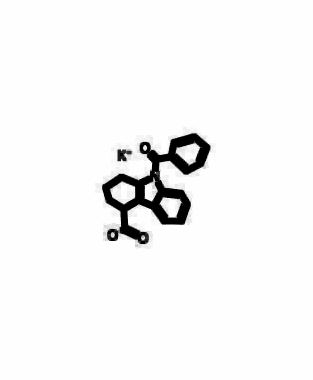 O=C([O-])C1CCCc2c1c1ccccc1n2C(=O)c1ccccc1.[K+]